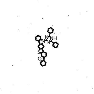 c1ccc(C2=NC(n3c4ccccc4c4cc5sc6c(ccc7c8ccccc8oc76)c5cc43)=NC(c3ccccc3)N2)cc1